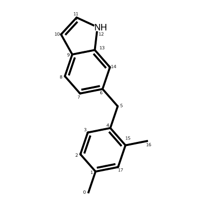 Cc1ccc(Cc2ccc3c[c][nH]c3c2)c(C)c1